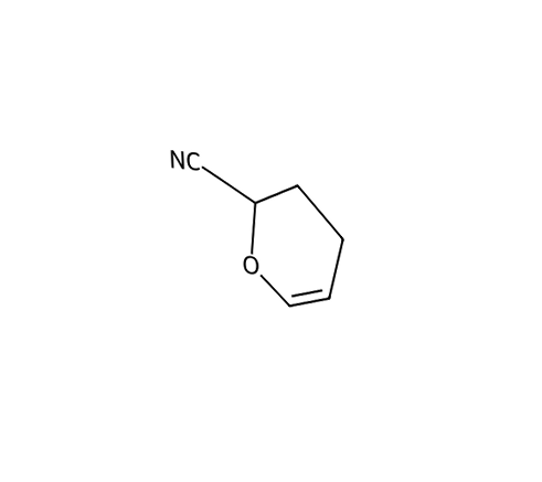 N#CC1CCC=CO1